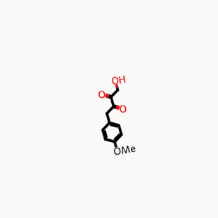 COc1ccc(CC(=O)C(=O)CO)cc1